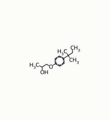 CCC(C)(C)c1ccc(OCC(C)O)cc1